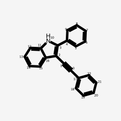 C(#Cc1c(-c2ccccc2)[nH]c2ccccc12)c1ccccc1